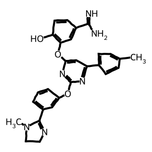 Cc1ccc(-c2cc(Oc3cc(C(=N)N)ccc3O)nc(Oc3cccc(C4=NCCN4C)c3)n2)cc1